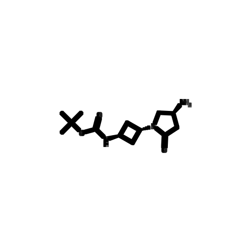 CC(C)(C)OC(=O)N[C@H]1C[C@H](N2C[C@@H](N)CC2=O)C1